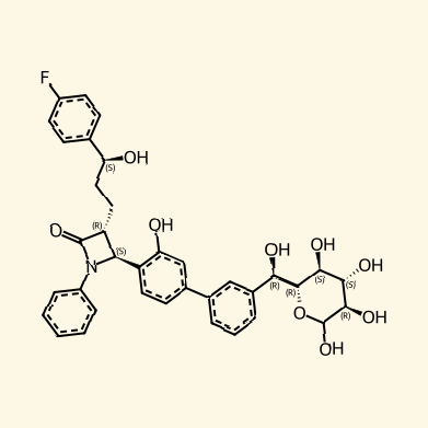 O=C1[C@H](CC[C@H](O)c2ccc(F)cc2)[C@@H](c2ccc(-c3cccc([C@@H](O)[C@H]4OC(O)[C@H](O)[C@@H](O)[C@@H]4O)c3)cc2O)N1c1ccccc1